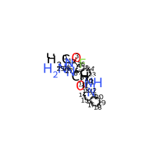 CN1C(=O)CC(C)(c2cc(NC(=O)c3ccc4ccccc4n3)ccc2F)N=C1N